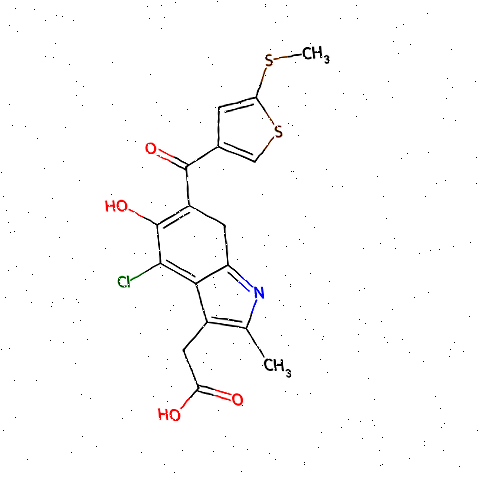 CSc1cc(C(=O)C2=C(O)C(Cl)=C3C(=NC(C)=C3CC(=O)O)C2)cs1